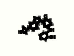 O[C@@H]1COCC[C@H]1Nc1ncc(Cl)c(-c2cnn3cc(C4CNC4)ccc23)n1